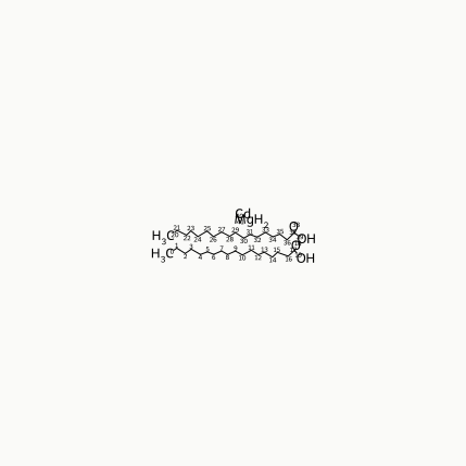 CCCCCCCCCCCCCCCCCC(=O)O.CCCCCCCCCCCCCCCCCC(=O)O.[Cd].[MgH2]